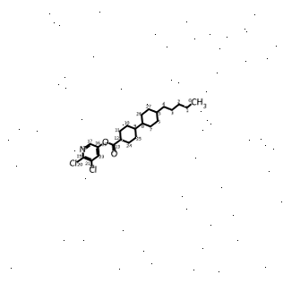 CCCCCC1CCC(C2CCC(C(=O)Oc3cnc(Cl)c(Cl)c3)CC2)CC1